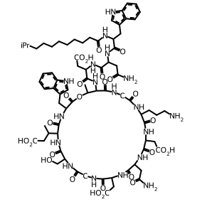 CC(C)CCCCCCCCC(=O)NC(Cc1c[nH]c2ccccc12)C(=O)NC(CC(N)=O)C(=O)NC(CC(=O)O)C(=O)NC1C(=O)NCC(=O)NC(CCCN)C(=O)NC(CC(=O)O)C(=O)NC(CC(N)=O)C(=O)NC(CC(=O)O)C(=O)NCC(=O)NC(CO)C(=O)NC(C(C)CC(=O)O)C(=O)NC(Cc2c[nH]c3ccccc23)C(=O)OC1C